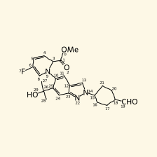 COC(=O)C1C=CC(F)=CN1c1cc2cn(C3CCC(C=O)CC3)nc2cc1C(C)(C)O